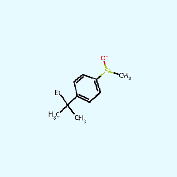 CCC(C)(C)c1ccc([S+](C)[O-])cc1